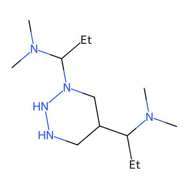 CCC(C1CNNN(C(CC)N(C)C)C1)N(C)C